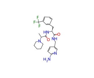 CC(C(=O)N[C@@H](Cc1cccc(C(F)(F)F)c1)C(=O)NCc1ccc(N)nc1)N1CCCCC1